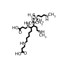 CNCCC[Si](C)(C)O[Si](C)(C)C(CCNC)C(CCCCCNCCC(=O)O)NCCC(=O)O